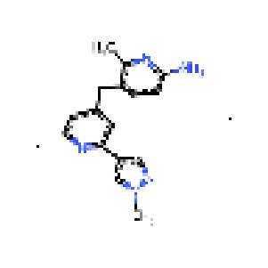 Cc1nc(N)ccc1Cc1ccnc(-c2cnn(C)c2)c1